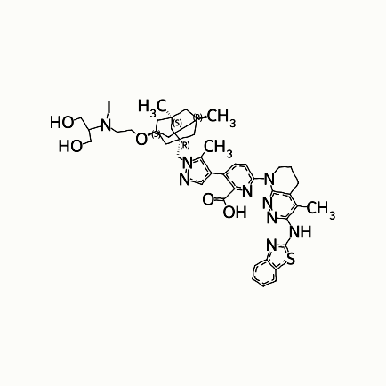 Cc1c(Nc2nc3ccccc3s2)nnc2c1CCCN2c1ccc(-c2cnn(C[C@]34C[C@]5(C)C[C@](C)(C3)C[C@@](OCCN(I)C(CO)CO)(C5)C4)c2C)c(C(=O)O)n1